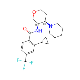 O=C(N[C@H]1COCC[C@H]1N1CCCCC1)c1ccc(C(F)(F)F)cc1C1CC1